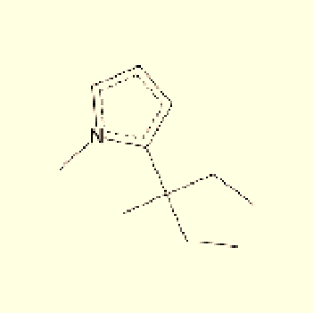 CCC(C)(CC)c1cccn1C